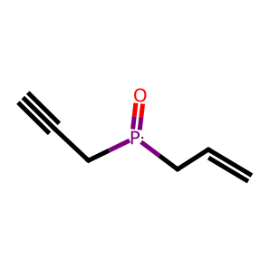 C#CC[P](=O)CC=C